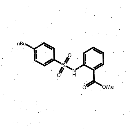 CCCCc1ccc(S(=O)(=O)Nc2ccccc2C(=O)OC)cc1